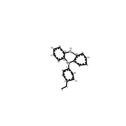 CCc1ccc(N2c3ccccc3Sc3ccccc32)cc1